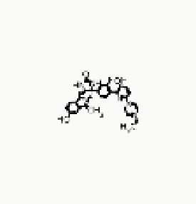 C=C1c2cc(O)ccc2CN1C[C@@]1(c2ccc(-c3nc(N4CCN(CC)CC4)ccc3O)c(F)c2)NC(=O)NC1=O